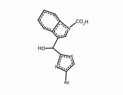 CC(=O)c1csc(C(O)c2cn(C(=O)O)c3ccccc23)n1